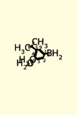 Bc1cccc(C(C)C)c1.O.O